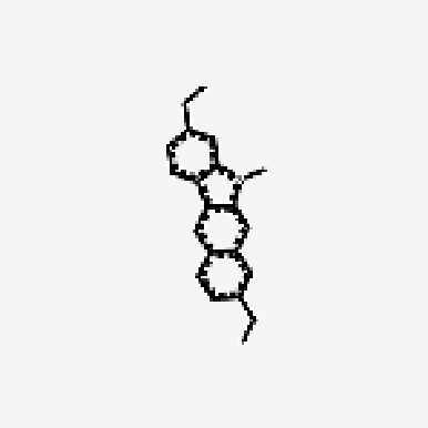 CCc1ccc2cc3c4ccc(CC)cc4n(C)c3cc2c1